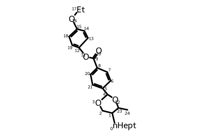 CCCCCCCC1COC(c2ccc(C(=O)Oc3ccc(OCC)cc3)cc2)OC1C